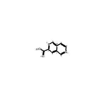 O=C(O)c1cc2cnccc2cn1